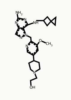 COc1cc(C2CCN(CCO)CC2)cnc1Cn1ncc2nc(N)nc(NCC3CC4(CC4)C3)c21